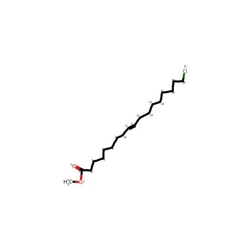 COC(=O)CCCCCCC/C=C/CCCCCCCCCl